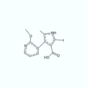 COc1ncccc1-c1c(C)[nH]c(I)c1C(=O)O